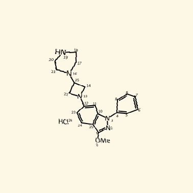 COc1nn(-c2ccccc2)c2cc(N3CC(N4CCNCC4)C3)ccc12.Cl